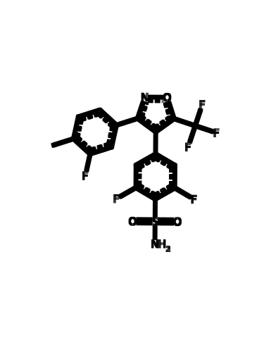 Cc1ccc(-c2noc(C(F)(F)F)c2-c2cc(F)c(S(N)(=O)=O)c(F)c2)cc1F